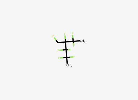 CC(F)(F)C(F)(F)C(F)(CF)C(C)(F)F